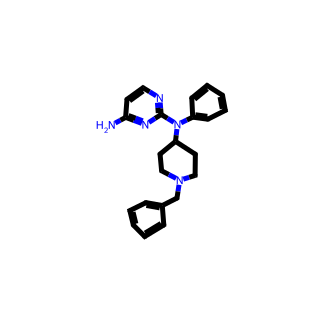 Nc1ccnc(N(c2ccccc2)C2CCN(Cc3ccccc3)CC2)n1